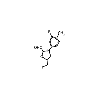 Cc1ccc(N2C[C@@H](CI)OC2C=O)cc1F